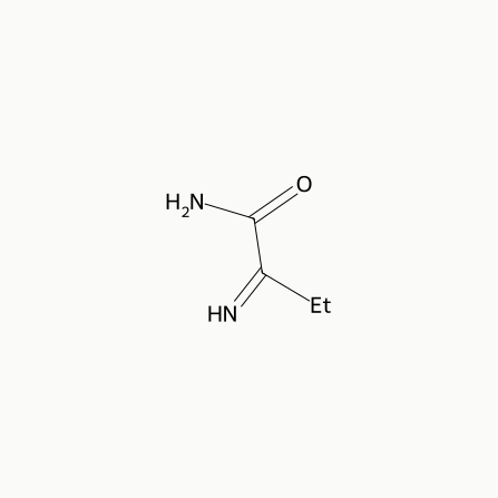 CCC(=N)C(N)=O